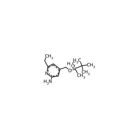 CCc1cc(CO[Si](C)(C)C(C)(C)C)cc(N)n1